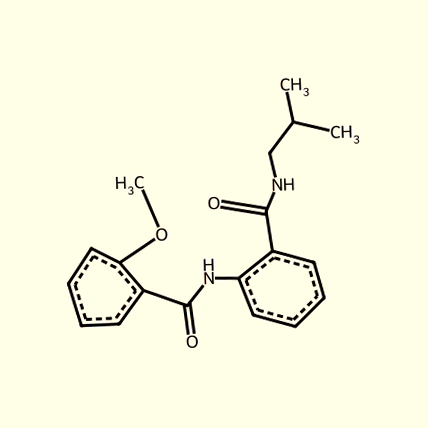 COc1ccccc1C(=O)Nc1ccccc1C(=O)NCC(C)C